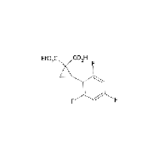 CCOC(=O)C1(C(=O)O)CC1c1c(F)cc(F)cc1F